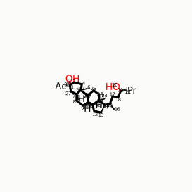 CC(=O)[C@]1(O)CC[C@@]2(C)C(=CC[C@H]3[C@@H]4CC[C@H]([C@H](C)CCC(O)C(C)C)[C@@]4(C)CC[C@@H]32)C1